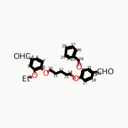 CCOc1cc(C=O)ccc1OCCCCCOc1ccc(C=O)cc1OCc1ccccc1